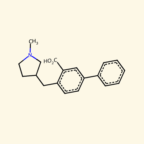 CN1CCC(Cc2ccc(-c3ccccc3)cc2C(=O)O)C1